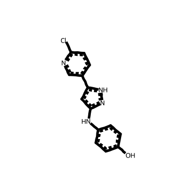 Oc1ccc(Nc2cc(-c3ccc(Cl)nc3)[nH]n2)cc1